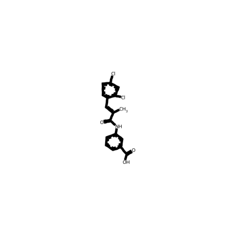 CC(=Cc1ccc(Cl)cc1Cl)C(=O)Nc1cccc(C(=O)O)c1